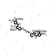 COC(=O)c1cc(C(=O)c2c(C)c(OC)c3ccc(OCCOCCOc4cccn5c(C(=O)c6ccc(N)c(C(=O)OC)c6)c(C)c(OC)c45)cn23)ccc1N